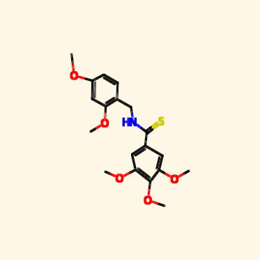 COc1ccc(CNC(=S)c2cc(OC)c(OC)c(OC)c2)c(OC)c1